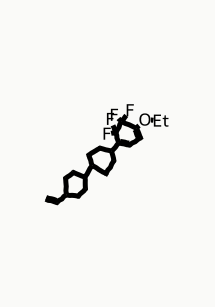 C=CC1CCC(C2CCC(C3=CC=C(OCC)C(F)(F)C3(F)F)CC2)CC1